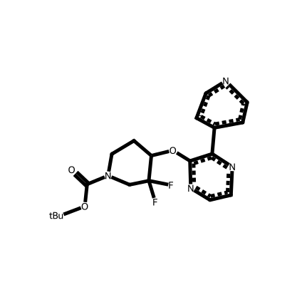 CC(C)(C)OC(=O)N1CCC(Oc2nccnc2-c2ccncc2)C(F)(F)C1